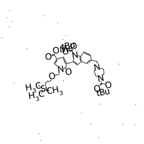 COC(=O)c1cc(-c2cc3cc(CN4CCN(C(=O)OC(C)(C)C)CC4)ccc3n2C(=O)OC(C)(C)C)c(=O)n(COCC[Si](C)(C)C)c1